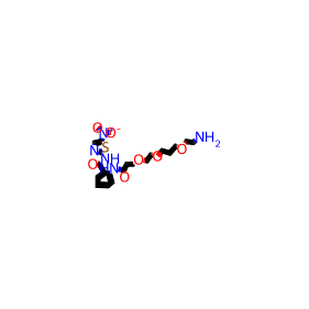 NCCOCCCOCCOCCC(=O)Nc1ccccc1C(=O)Nc1ncc([N+](=O)[O-])s1